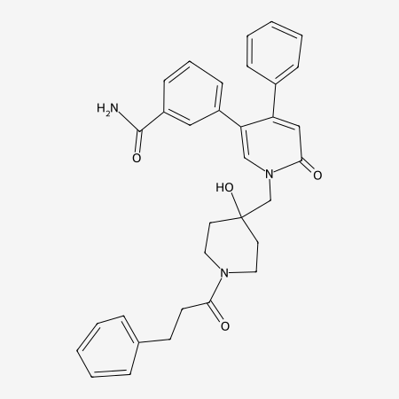 NC(=O)c1cccc(-c2cn(CC3(O)CCN(C(=O)CCc4ccccc4)CC3)c(=O)cc2-c2ccccc2)c1